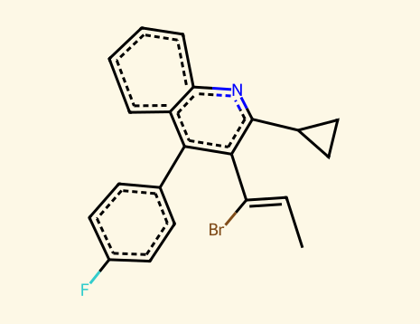 CC=C(Br)c1c(C2CC2)nc2ccccc2c1-c1ccc(F)cc1